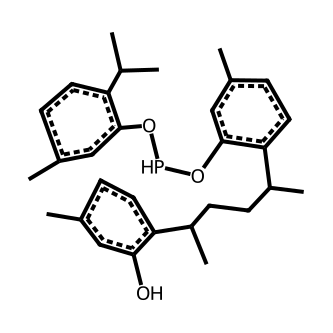 Cc1ccc(C(C)CCC(C)c2ccc(C)cc2OPOc2cc(C)ccc2C(C)C)c(O)c1